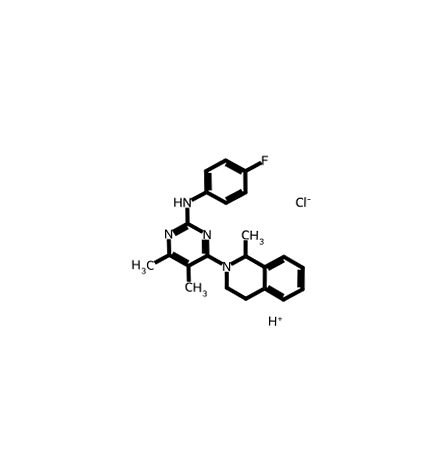 Cc1nc(Nc2ccc(F)cc2)nc(N2CCc3ccccc3C2C)c1C.[Cl-].[H+]